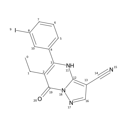 CCc1c(-c2cccc(I)c2)[nH]c2c(C#N)cnn2c1=O